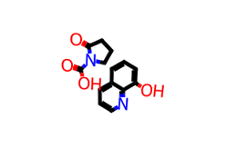 O=C(O)N1CCCC1=O.Oc1cccc2cccnc12